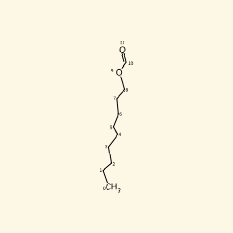 CCCCCCCC[CH]OC=O